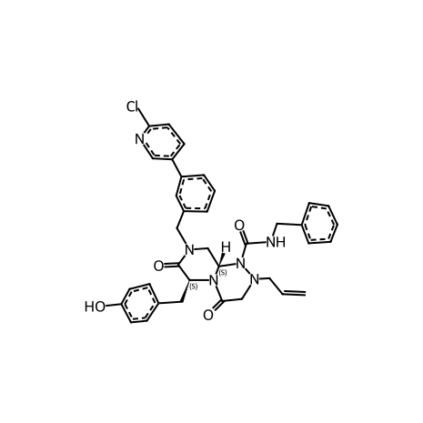 C=CCN1CC(=O)N2[C@@H](Cc3ccc(O)cc3)C(=O)N(Cc3cccc(-c4ccc(Cl)nc4)c3)C[C@@H]2N1C(=O)NCc1ccccc1